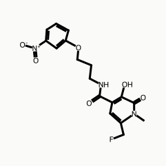 Cn1c(CF)cc(C(=O)NCCCOc2cccc([N+](=O)[O-])c2)c(O)c1=O